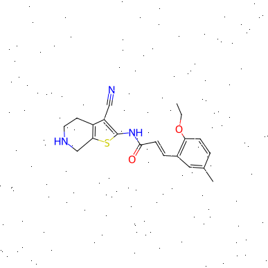 CCOc1ccc(C)cc1C=CC(=O)Nc1sc2c(c1C#N)CCNC2